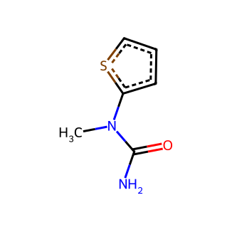 CN(C(N)=O)c1cccs1